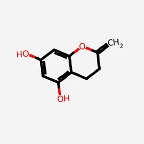 C=C1CCc2c(O)cc(O)cc2O1